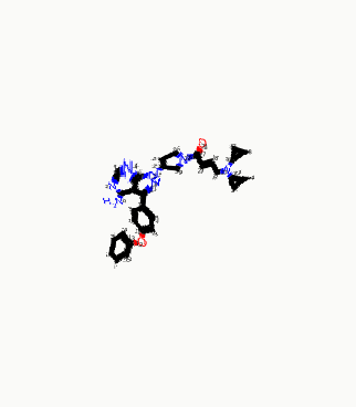 Nc1ncnc2c1c(-c1ccc(Oc3ccccc3)cc1)nn2C1CCN(C(=O)C=CCN(C2CC2)C2CC2)C1